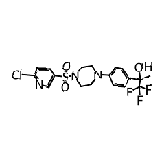 C[C@](O)(c1ccc(N2CCN(S(=O)(=O)c3ccc(Cl)nc3)CC2)cc1)C(F)(F)F